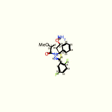 CO[C@@H](C)C(=O)N1N=C(c2cc(F)ccc2F)S[C@@]1(CCON)c1ccccc1